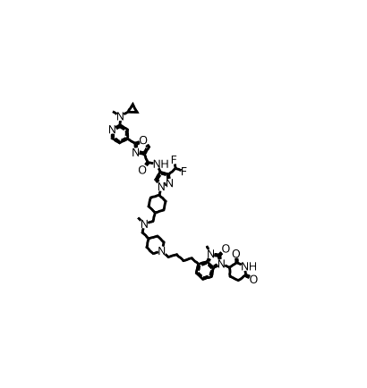 CN(CC1CCC(n2cc(NC(=O)c3coc(-c4ccnc(N(C)C5CC5)c4)n3)c(C(F)F)n2)CC1)CC1CCN(CCCCc2cccc3c2n(C)c(=O)n3C2CCC(=O)NC2=O)CC1